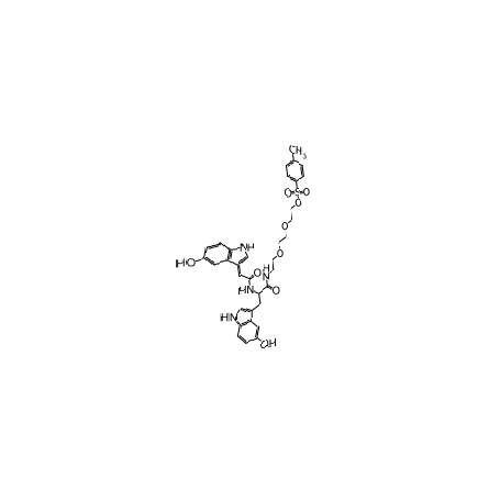 Cc1ccc(S(=O)(=O)OCCOCCOCCNC(=O)C(Cc2c[nH]c3ccc(O)cc23)NC(=O)Cc2c[nH]c3ccc(O)cc23)cc1